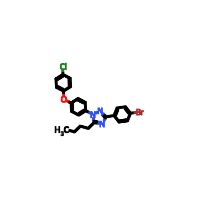 CCCCc1nc(-c2ccc(Br)cc2)nn1-c1ccc(Oc2ccc(Cl)cc2)cc1